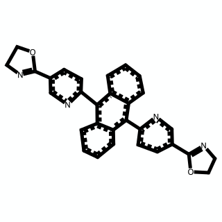 c1ccc2c(-c3ccc(C4=NCCO4)cn3)c3ccccc3c(-c3ccc(C4=NCCO4)cn3)c2c1